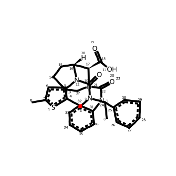 CCN(Cc1ccc(C)s1)C(=O)N1C2CC[C@@H]1[C@@H](C(=O)O)N(C(=O)N(c1ccccc1)c1ccccc1)C2